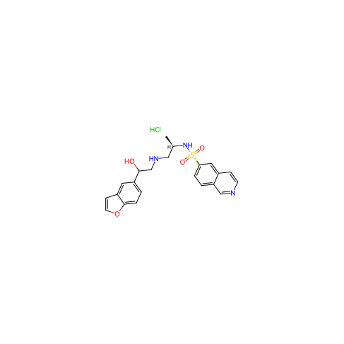 C[C@H](CNCC(O)c1ccc2occc2c1)NS(=O)(=O)c1ccc2cnccc2c1.Cl